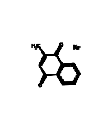 CC1=CC(=O)c2ccccc2C1=O.[Na]